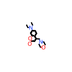 CCN(CC)c1ccc2c(CN3CCOCC3)cc(=O)oc2c1